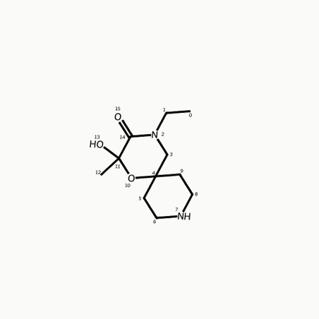 CCN1CC2(CCNCC2)OC(C)(O)C1=O